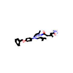 CC(C)=CCN(CC(C)NC(=O)CC(C)CC(N)=O)c1ccc(OCc2ccccc2)cc1